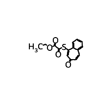 CCOC(=O)C(=O)Sc1cc(=O)ccc2ccccc12